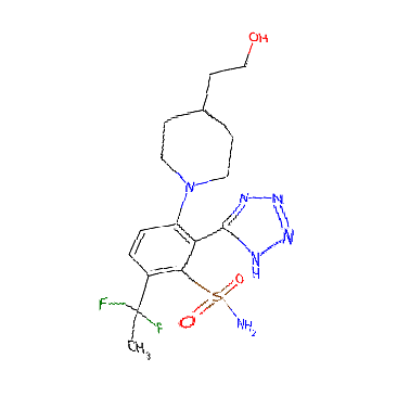 CC(F)(F)c1ccc(N2CCC(CCO)CC2)c(-c2nnn[nH]2)c1S(N)(=O)=O